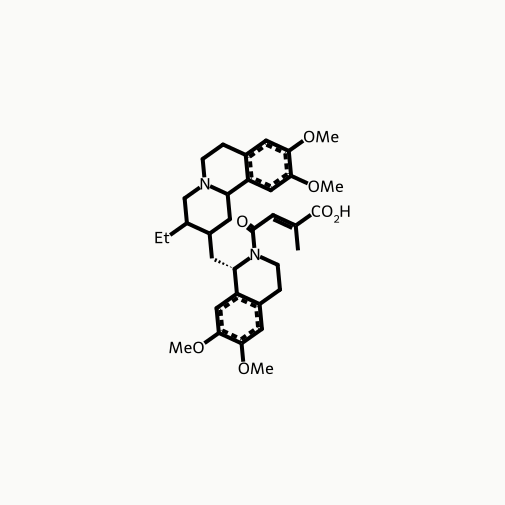 CCC1CN2CCc3cc(OC)c(OC)cc3C2CC1C[C@H]1c2cc(OC)c(OC)cc2CCN1C(=O)/C=C(\C)C(=O)O